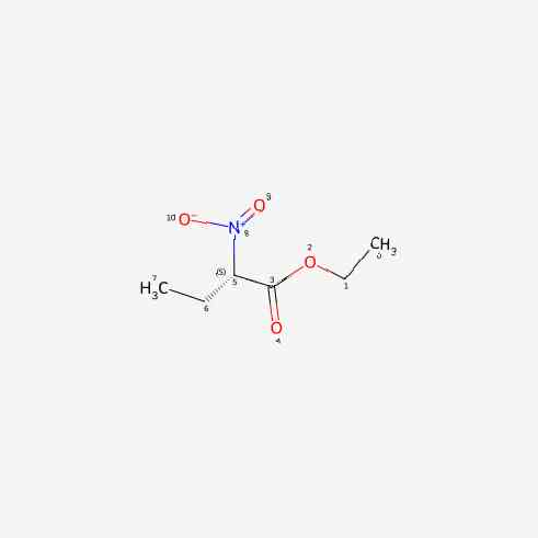 CCOC(=O)[C@H](CC)[N+](=O)[O-]